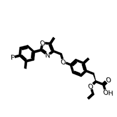 CCO[C@@H](Cc1ccc(OCc2nc(-c3ccc(F)c(C)c3)oc2C)cc1C)C(=O)O